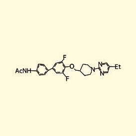 CCc1cnc(N2CCC(COc3c(F)cc(-c4ccc(NC(C)=O)cc4)cc3F)CC2)nc1